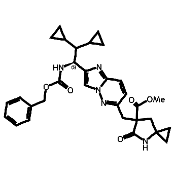 COC(=O)C1(Cc2ccc3nc([C@@H](NC(=O)OCc4ccccc4)C(C4CC4)C4CC4)cn3n2)CC2(CC2)NC1=O